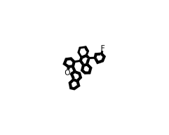 Fc1cccc(-c2c3c(c(-c4cccc5oc6c7ccccc7ccc6c45)c4ccccc24)CCC=C3)c1